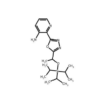 CC(O[Si](C(C)C)(C(C)C)C(C)C)c1nnc(-c2ncccc2N)o1